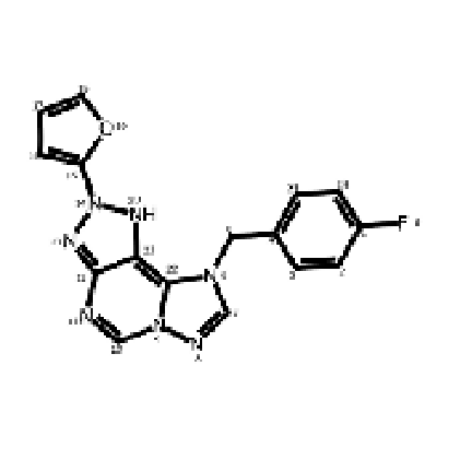 Fc1ccc(CN2C=NN3C=NC4=NN(c5ccco5)NC4=C23)cc1